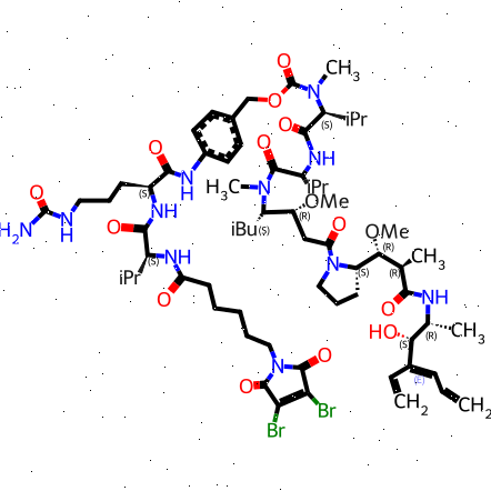 C=C/C=C(\C=C)[C@H](O)[C@@H](C)NC(=O)[C@H](C)[C@@H](OC)[C@@H]1CCCN1C(=O)C[C@@H](OC)C([C@@H](C)CC)N(C)C(=O)C(NC(=O)[C@H](C(C)C)N(C)C(=O)OCc1ccc(NC(=O)[C@H](CCCNC(N)=O)NC(=O)[C@@H](NC(=O)CCCCCN2C(=O)C(Br)=C(Br)C2=O)C(C)C)cc1)C(C)C